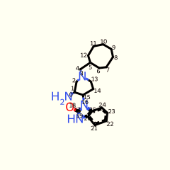 NC1CN(CC2CCCCCCC2)CCC1n1c(=O)[nH]c2ccccc21